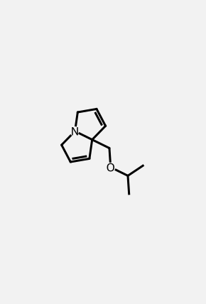 CC(C)OCC12C=CCN1CC=C2